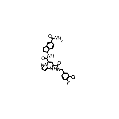 NC(=O)c1ccc2c(c1)CC[C@@H]2NC(=O)c1cc(C(=O)NCc2ccc(F)c(Cl)c2)nc2ccnn12